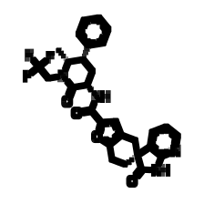 C[C@@H]1[C@H](c2ccccc2)C[C@H](NC(=O)c2cc3c(o2)CC[C@@]2(C3)C(=O)Nc3ncccc32)C(=O)N1CC(F)(F)F